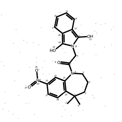 CC1(C)CCCN(C(=O)Cn2c(O)c3ccccc3c2O)c2cc([N+](=O)[O-])ccc21